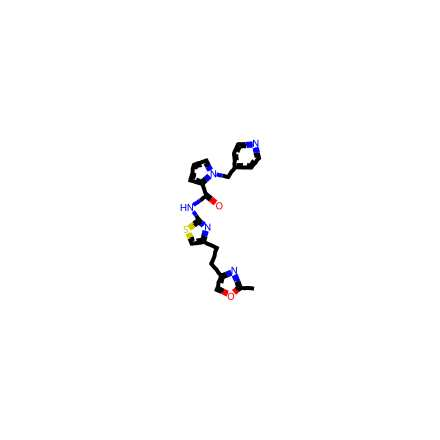 Cc1nc(CCc2csc(NC(=O)c3cccn3Cc3ccncc3)n2)co1